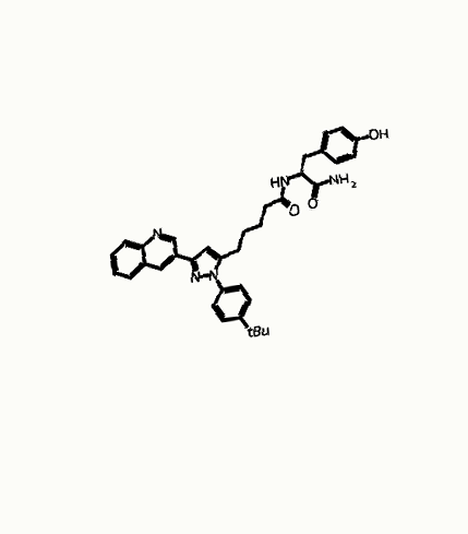 CC(C)(C)c1ccc(-n2nc(-c3cnc4ccccc4c3)cc2CCCCC(=O)N[C@@H](Cc2ccc(O)cc2)C(N)=O)cc1